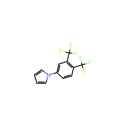 FC(F)(F)c1ccc(-n2c[c]cc2)cc1C(F)(F)F